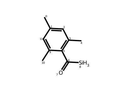 Cc1cc(C)c(C(=O)[SiH3])c(C)c1